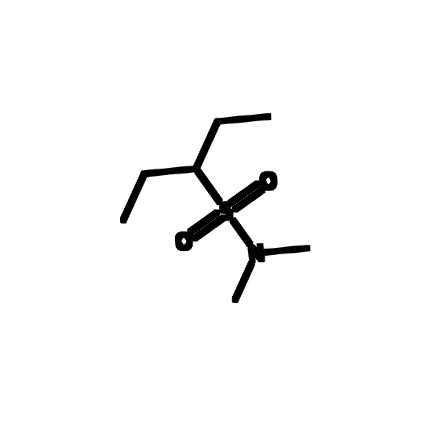 CCC(CC)S(=O)(=O)N(C)C